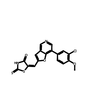 COc1ccc(-c2cncc3cc(/C=C4/SC(=S)NC4=O)oc23)cc1Cl